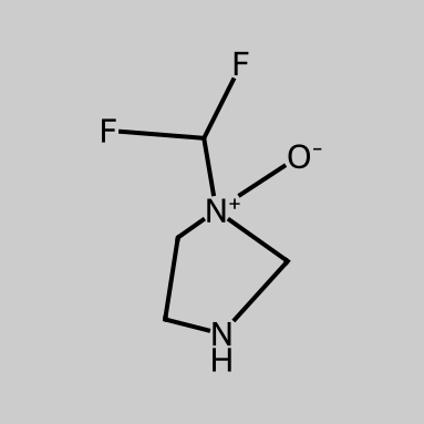 [O-][N+]1(C(F)F)CCNC1